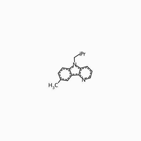 Cc1ccc2c(c1)c1ncccc1n2CC(C)C